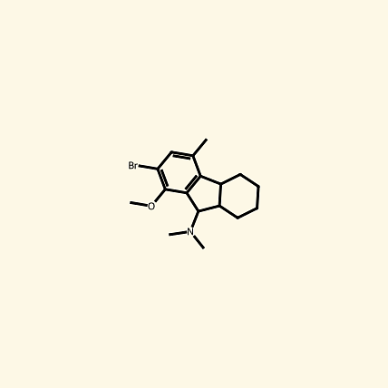 COc1c(Br)cc(C)c2c1C(N(C)C)C1CCCCC21